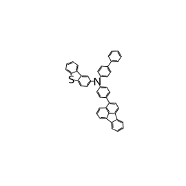 c1ccc(-c2ccc(N(c3ccc(-c4ccc5c6c(cccc46)-c4ccccc4-5)cc3)c3ccc4sc5ccccc5c4c3)cc2)cc1